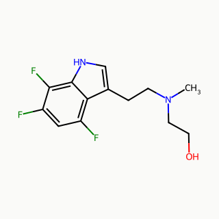 CN(CCO)CCc1c[nH]c2c(F)c(F)cc(F)c12